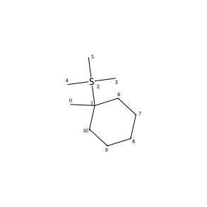 CC1(S(C)(C)C)CCCCC1